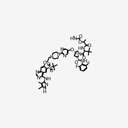 CNC(=O)OC(C)C(=O)NC(C(=O)N1C[C@@H](Oc2cnc(N3CCN(CCOc4cc5ncnc(Nc6n[nH]c(C)c6C)c5cc4S(=O)(=O)C(C)(C)C)CC3)nc2)C[C@H]1C(=O)Nc1c(F)cccc1F)C(C)(C)C